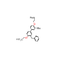 CCC(C)c1cc(-c2ccc(OCC(=O)O)c(Cc3ccccc3)c2)ccc1OCCNC